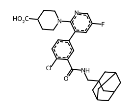 O=C(NCC12CC3CC(CC(C3)C1)C2)c1cc(-c2cc(F)cnc2N2CCC(C(=O)O)CC2)ccc1Cl